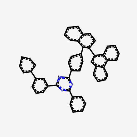 c1ccc(-c2cccc(-c3nc(-c4ccccc4)nc(-c4ccc(-c5c(-c6cc7ccccc7c7ccccc67)ccc6ccccc56)cc4)n3)c2)cc1